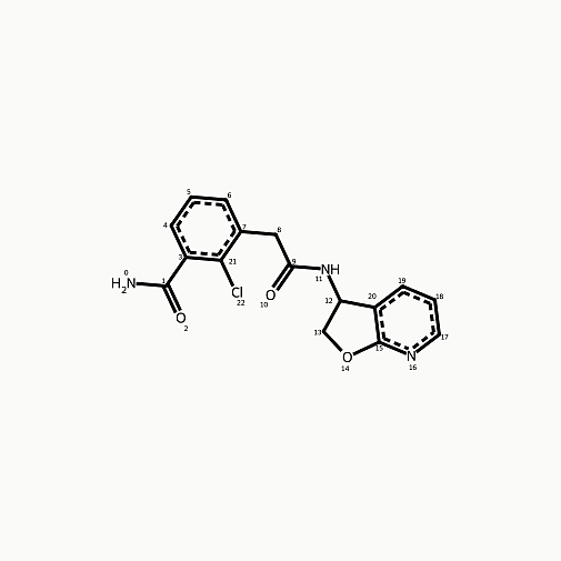 NC(=O)c1cccc(CC(=O)NC2COc3ncccc32)c1Cl